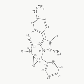 Cc1c(-c2ccc(OC(F)(F)F)cc2)c(C(=O)N(C)C2CC2)n(Cc2ccccc2)c1C(F)(F)F